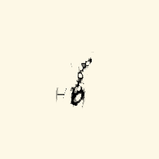 O=C(NC1CCC(NC(=O)C2CNC3C=C(Cl)C=CC3O2)CC1)c1ccc2cc(Cl)ccc2n1